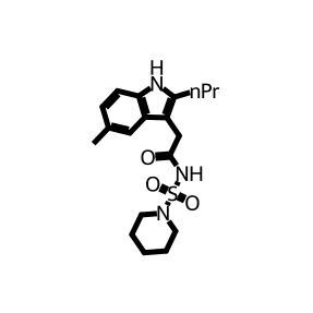 CCCc1[nH]c2ccc(C)cc2c1CC(=O)NS(=O)(=O)N1CCCCC1